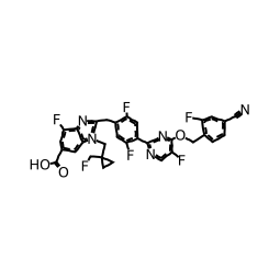 N#Cc1ccc(COc2nc(-c3cc(F)c(Cc4nc5c(F)cc(C(=O)O)cc5n4CC4(CF)CC4)cc3F)ncc2F)c(F)c1